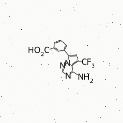 Nc1ncnn2c(-c3cccc(C(=O)O)c3)cc(C(F)(F)F)c12